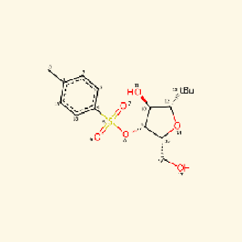 Cc1ccc(S(=O)(=O)O[C@@H]2[C@@H](O)[C@H](C(C)(C)C)O[C@@H]2CO)cc1